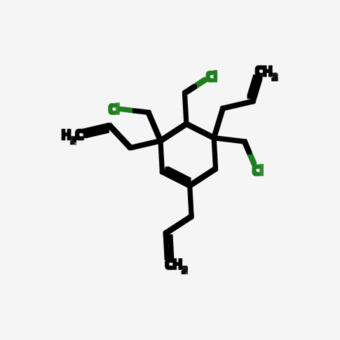 C=CCC1=CC(CCl)(CC=C)C(CCl)C(CCl)(CC=C)C1